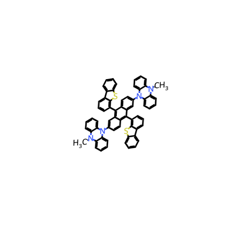 CN1c2ccccc2N(c2ccc3c(-c4cccc5c4sc4ccccc45)c4cc(N5c6ccccc6N(C)c6ccccc65)ccc4c(-c4cccc5c4sc4ccccc45)c3c2)c2ccccc21